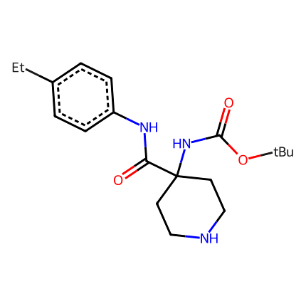 CCc1ccc(NC(=O)C2(NC(=O)OC(C)(C)C)CCNCC2)cc1